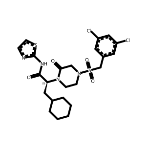 O=C(Nc1nccs1)[C@H](CC1CCCCC1)N1CCN(S(=O)(=O)Cc2cc(Cl)cc(Cl)c2)CC1=O